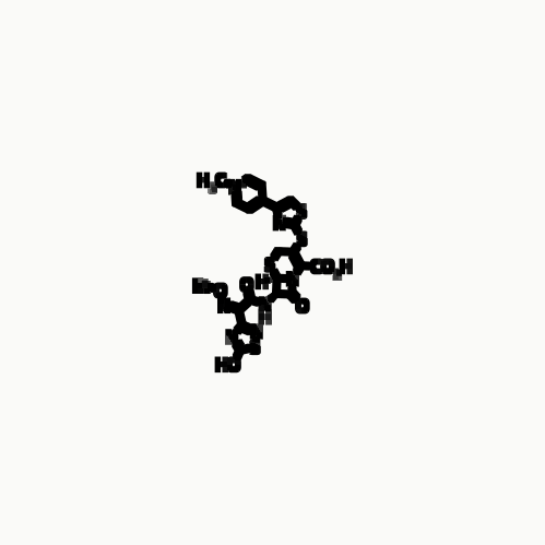 CCO/N=C(\C(=O)N[C@@H]1C(=O)N2C(C(=O)O)=C(Sc3nc(-c4cc[n+](C)cc4)cs3)CS[C@H]12)c1nsc(O)n1